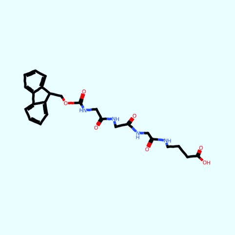 O=C(O)CCCNC(=O)CNC(=O)CNC(=O)CNC(=O)OCC1c2ccccc2-c2ccccc21